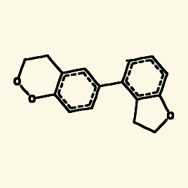 [c]1ccc2c(c1-c1ccc3c(c1)CCOO3)CCO2